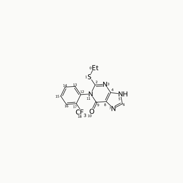 CCSc1nc2[nH]cnc2c(=O)n1-c1ccccc1C(F)(F)F